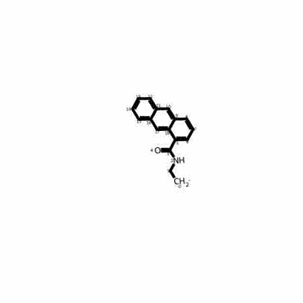 [CH2]CNC(=O)c1cccc2cc3ccccc3cc12